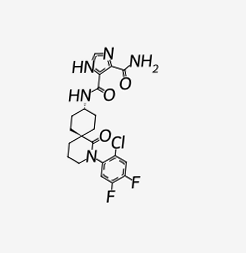 NC(=O)c1nc[nH]c1C(=O)N[C@H]1CC[C@@]2(CCCN(c3cc(F)c(F)cc3Cl)C2=O)CC1